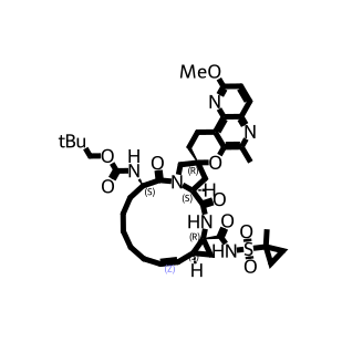 COc1ccc2nc(C)c3c(c2n1)CC[C@]1(C[C@H]2C(=O)N[C@]4(C(=O)NS(=O)(=O)C5(C)CC5)C[C@H]4/C=C\CCCCC[C@H](NC(=O)OCC(C)(C)C)C(=O)N2C1)O3